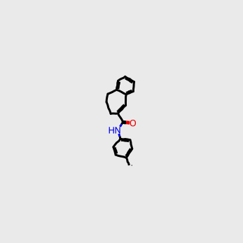 [CH2]c1ccc(NC(=O)C2=Cc3ccccc3CCC2)cc1